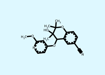 COc1cc(OC2c3cc(C#N)ccc3OC(C)(C)C2(C)O)ccn1